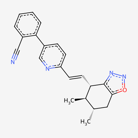 C[C@H]1[C@H](/C=C/c2ccc(-c3ccccc3C#N)cn2)c2nnoc2C[C@@H]1C